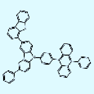 c1ccc(-c2ccc3c(c2)c2cc(-c4cccc5c4sc4ccccc45)ccc2n3-c2ccc(-c3c4ccccc4c(-c4ccccc4)c4ccccc34)cc2)cc1